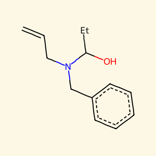 C=CCN(Cc1ccccc1)C(O)CC